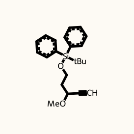 C#CC(CCO[Si](c1ccccc1)(c1ccccc1)C(C)(C)C)OC